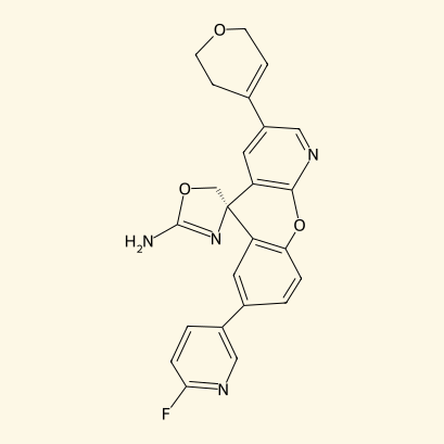 NC1=N[C@]2(CO1)c1cc(-c3ccc(F)nc3)ccc1Oc1ncc(C3=CCOCC3)cc12